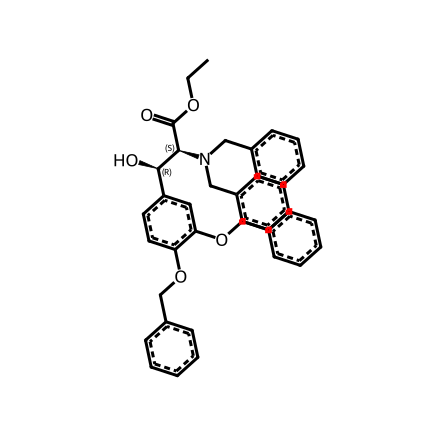 CCOC(=O)[C@H]([C@H](O)c1ccc(OCc2ccccc2)c(OCc2ccccc2)c1)N(Cc1ccccc1)Cc1ccccc1